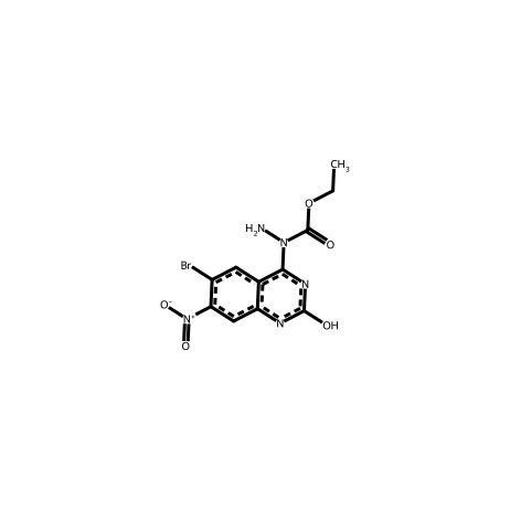 CCOC(=O)N(N)c1nc(O)nc2cc([N+](=O)[O-])c(Br)cc12